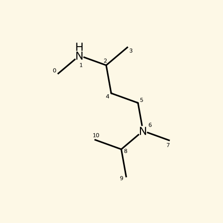 CNC(C)CCN(C)C(C)C